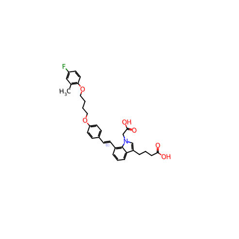 Cc1cc(F)ccc1OCCCCOc1ccc(/C=C/c2cccc3c(CCCC(=O)O)cn(CC(=O)O)c23)cc1